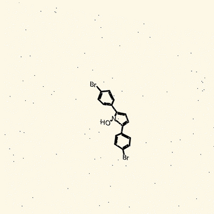 On1c(-c2ccc(Br)cc2)ccc1-c1ccc(Br)cc1